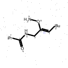 CCC(C)/C=C(/CNC(=O)C(C)C)ON